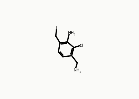 NCc1ccc(CI)c(N)c1Cl